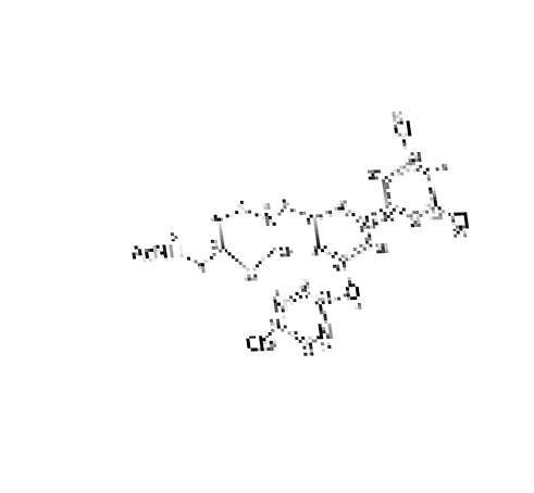 CC(=O)NCC1CCN(Cc2cc(Oc3cnc(Cl)cn3)cc(-c3cc(Cl)cc(Cl)c3)c2)CC1